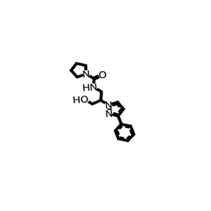 O=C(NCC(CO)n1ccc(-c2ccccc2)n1)N1CCCC1